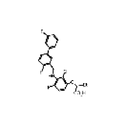 CCC(Oc1ccc(F)c(NCc2cc(-c3cccc(F)c3)ccc2F)c1Cl)C(=O)O